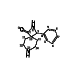 O=C1NC(c2ccccc2)C12CCNCC2